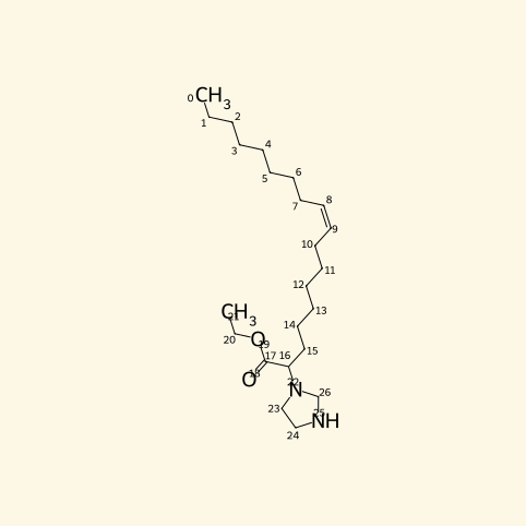 CCCCCCCC/C=C\CCCCCCC(C(=O)OCC)N1CCNC1